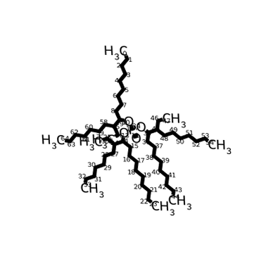 CCCCCCCCCC(OP(=O)(OC(CCCCCCCCC)C(CC)CCCCCCC)OC(CCCCCCCCC)C(CC)CCCCCCC)C(CC)CCCCCCC